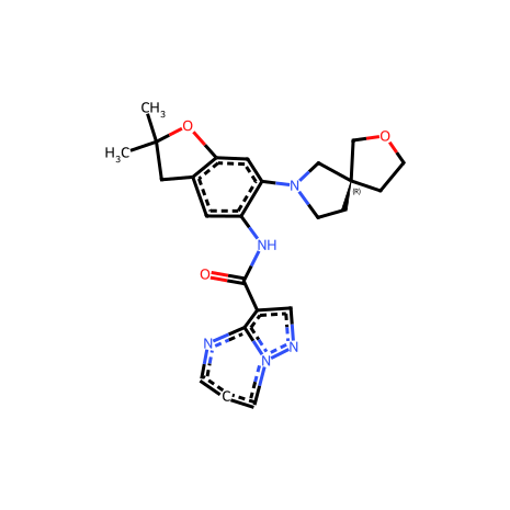 CC1(C)Cc2cc(NC(=O)c3cnn4cccnc34)c(N3CC[C@@]4(CCOC4)C3)cc2O1